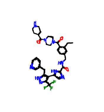 CCc1cc(CNC(=O)c2ncc(-c3c(C(F)(F)F)n[nH]c3Cc3cccnc3)[nH]2)ccc1C(=O)N1CCN(C(=O)C2CCNCC2)CC1